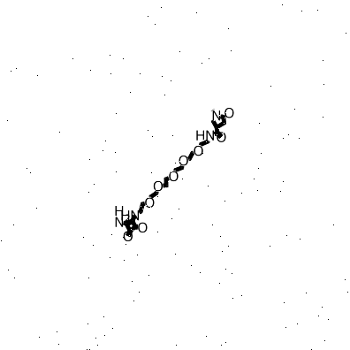 CN1CC(C(=O)NCCOCCOCCOCCOCCOCCNc2c(N)c(=O)c2=O)CC1=O